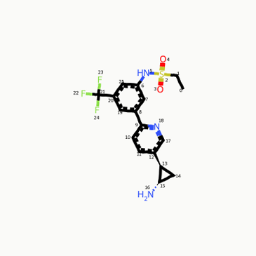 CCS(=O)(=O)Nc1cc(-c2ccc([C@H]3C[C@@H]3N)cn2)cc(C(F)(F)F)c1